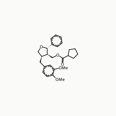 COc1ccc(C[C@H]2CO[C@H](c3ccccc3)[C@H]2COC(=O)C2CCCC2)cc1OC